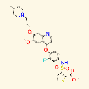 COC(=O)C1=C(S(=O)(=O)Nc2ccc(Oc3ccnc4cc(OCCCN5CCC(C)CC5)c(OC)cc34)c(F)c2)CCS1